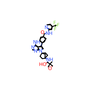 CC1(C(O)NC23CCC(n4cc(-c5ccc(C(=O)Nc6cc(C(F)(F)F)ccn6)cc5)c5c(N)ncnc54)(CC2)C3)COC1